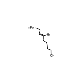 CCCCCCC=C(Br)CCCCO